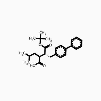 CC(C)CC(C(=O)O)[C@@H](Cc1ccc(-c2ccccc2)cc1)C(=O)OC(C)(C)C